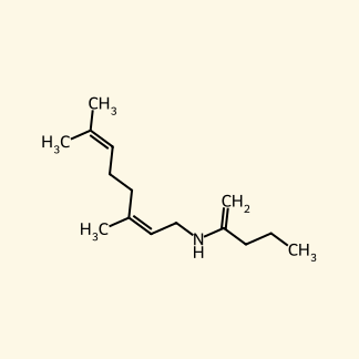 C=C(CCC)NC/C=C(/C)CCC=C(C)C